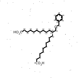 O=C(O)CCCCCCCCCC[C@@H](CCCCCCCCCC(=O)O)COCc1ccccc1